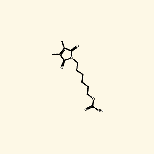 CCC(C)C(=O)OCCCCCCN1C(=O)C(C)=C(C)C1=O